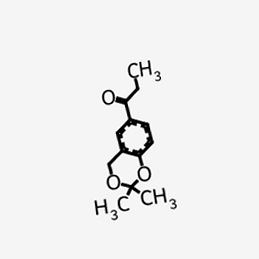 CCC(=O)c1ccc2c(c1)COC(C)(C)O2